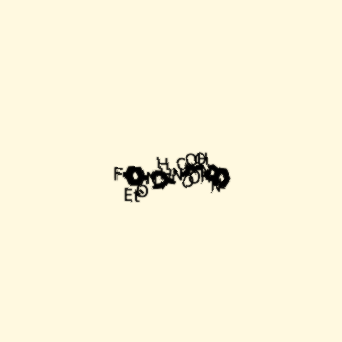 CCOc1cc(F)ccc1N1CCC(CNC(=O)[C@](C)(O)[C@@H](O)C(=O)N2Cc3cccnc3C2)CC1